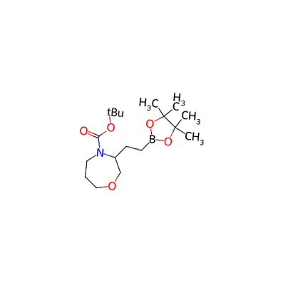 CC(C)(C)OC(=O)N1CCCOCC1CCB1OC(C)(C)C(C)(C)O1